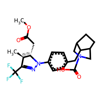 COC(=O)C[C@H]1[C@H](C)C(C(F)(F)F)=NN1c1ccc(CC2C3CCC2CN(C(=O)O)C3)cc1